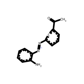 CC(=O)c1cccc(/N=N/c2ccccc2N)c1